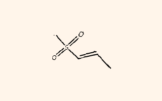 [CH2]S(=O)(=O)C=CC